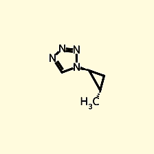 C[C@H]1C[C@@H]1n1cnnn1